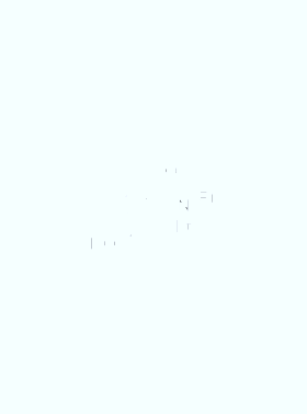 CCN(CC)C(=O)C1CC1CO